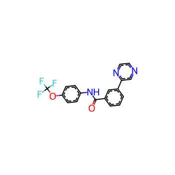 O=C(Nc1ccc(OC(F)(F)F)cc1)c1cccc(-c2cnccn2)c1